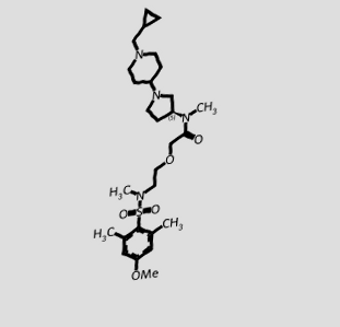 COc1cc(C)c(S(=O)(=O)N(C)CCOCC(=O)N(C)[C@H]2CCN(C3CCN(CC4CC4)CC3)C2)c(C)c1